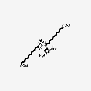 CCCCCCCCC=CCCCCCCCC(=O)OP(N)(=O)OC(=O)CCCCCCCC=CCCCCCCCC.CCCn1cc[n+](C)c1.[I-]